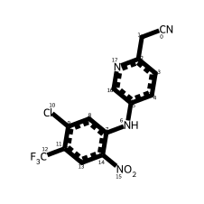 N#CCc1ccc(Nc2cc(Cl)c(C(F)(F)F)cc2[N+](=O)[O-])cn1